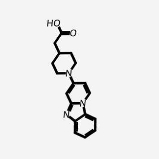 O=C(O)CC1CCN(c2ccn3c(c2)nc2ccccc23)CC1